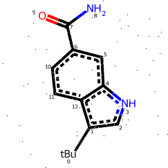 CC(C)(C)c1c[nH]c2cc(C(N)=O)ccc12